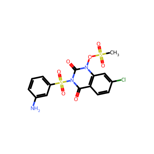 CS(=O)(=O)On1c(=O)n(S(=O)(=O)c2cccc(N)c2)c(=O)c2ccc(Cl)cc21